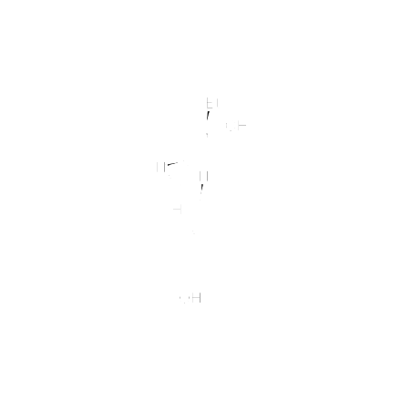 CC[C@]1(O)CC[C@H]2[C@@H]3CC=C4C=C(O)CC[C@]4(C)[C@H]3CC[C@@]21C